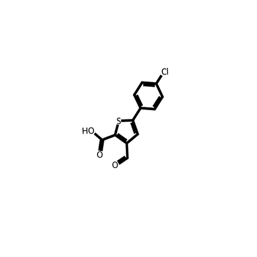 O=Cc1cc(-c2ccc(Cl)cc2)sc1C(=O)O